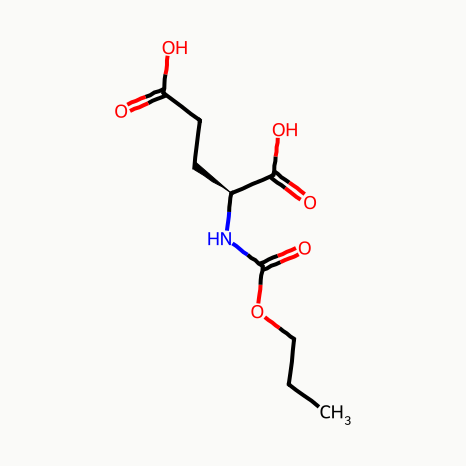 CCCOC(=O)N[C@@H](CCC(=O)O)C(=O)O